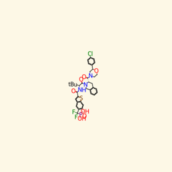 CC(C)(C)[C@H](NC(=O)c1cc2cc(C(F)(F)P(=O)(O)O)ccc2s1)C(=O)N1Cc2ccccc2C[C@H]1C(=O)N1CCOC(c2ccc(Cl)cc2)C1